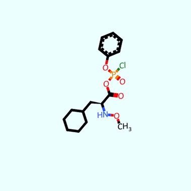 CON[C@@H](CC1CCCCC1)C(=O)OP(=O)(Cl)Oc1ccccc1